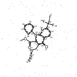 COC(=O)c1c(CN=[N+]=[N-])c(=O)c2ccc(C(F)(F)F)nc2n1-c1ccccc1